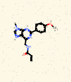 C=CC(=O)NCc1nc(-c2ccc(OC(F)(F)F)cc2)nc2c1ncn2C